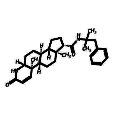 CC(C)(Cc1ccccc1)NC(=O)[C@H]1CC[C@H]2[C@@H]3CC[C@H]4NC(=O)C=C[C@]4(C)[C@H]3CC[C@]12C